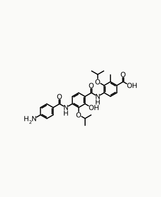 Cc1c(C(=O)O)ccc(NC(=O)c2ccc(NC(=O)c3ccc(N)cc3)c(OC(C)C)c2O)c1OC(C)C